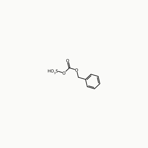 O=C(OCc1ccccc1)OS(=O)(=O)O